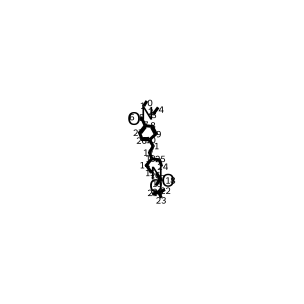 CCN(CC)C(=O)c1ccc(CCC2CCN(C(=O)OC(C)(C)C)CC2)cc1